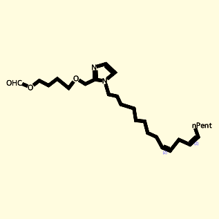 CCCCC/C=C\C/C=C\CCCCCCCCn1ccnc1COCCCCOC=O